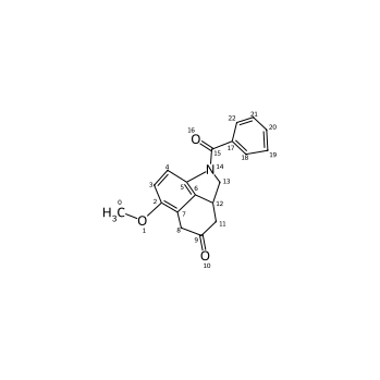 COc1ccc2c3c1CC(=O)CC3CN2C(=O)c1ccccc1